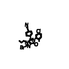 CCCn1c(Br)nc2c1[C@@H](c1ccc(C#N)cc1)N(c1cc(Cl)ccc1C)C2=O